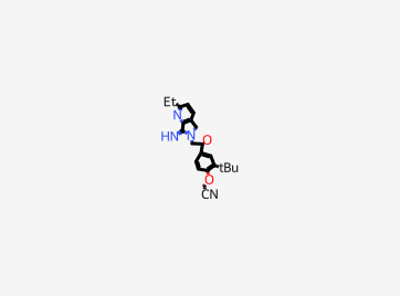 CCc1ccc2c(n1)C(=N)N(CC(=O)c1ccc(OCC#N)c(C(C)(C)C)c1)C2